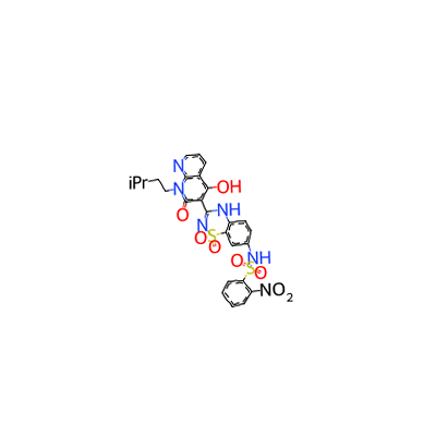 CC(C)CCn1c(=O)c(C2=NS(=O)(=O)c3cc(NS(=O)(=O)c4ccccc4[N+](=O)[O-])ccc3N2)c(O)c2cccnc21